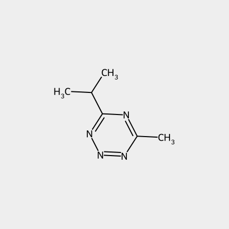 Cc1nnnc(C(C)C)n1